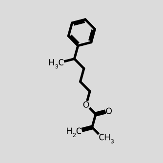 C=C(C)C(=O)OCCCC(C)c1ccccc1